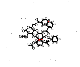 CO[C@H]1OC(COC(=O)c2ccccc2)[C@@H](O[C@@H]2OC(COC(C)=O)[C@@H](OC(C)=O)C(OCc3ccccc3)C2OC(=O)c2ccccc2)C(OCc2ccccc2)C1N=[N+]=[N-]